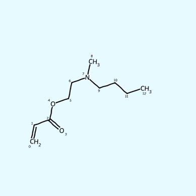 C=CC(=O)OCCN(C)CCCC